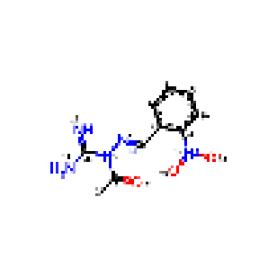 CC(=O)N(/N=C/c1ccccc1[N+](=O)[O-])C(=N)N